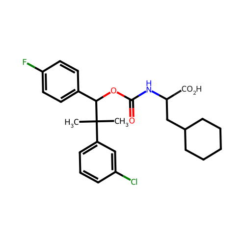 CC(C)(c1cccc(Cl)c1)C(OC(=O)NC(CC1CCCCC1)C(=O)O)c1ccc(F)cc1